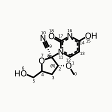 CO[C@@H]1CC(CO)O[C@@]1(C#N)n1ccc(O)nc1=O